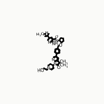 Cn1cc(-c2cnc(N)c(C(=O)N[C@H]3CCC[C@@H]3OCc3ccc(-c4cnc5c(c4)C(C)(C)C(=O)N5C4CCN(CCO)CC4)cc3)c2)cn1